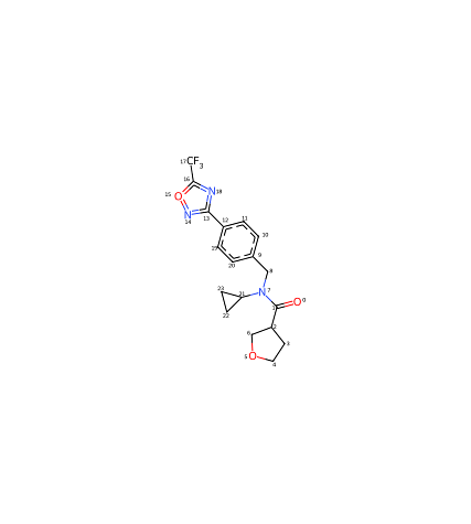 O=C(C1CCOC1)N(Cc1ccc(-c2noc(C(F)(F)F)n2)cc1)C1CC1